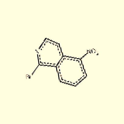 O=[N+]([O-])c1cccc2c(Br)nccc12